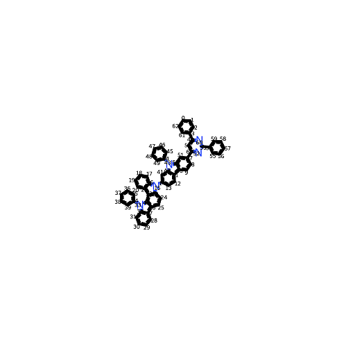 c1ccc(-c2cc(-c3ccc4c5ccc(-n6c7ccccc7c7c6ccc6c8ccccc8n(-c8ccccc8)c67)cc5n(-c5ccccc5)c4c3)nc(-c3ccccc3)n2)cc1